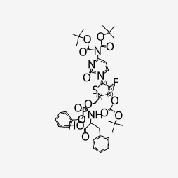 CC(C)(C)OC(=O)O[C@H]1[C@H](F)[C@H](n2ccc(N(C(=O)OC(C)(C)C)C(=O)OC(C)(C)C)nc2=O)S[C@@H]1COP(=O)(NC(Cc1ccccc1)C(=O)O)Oc1ccccc1